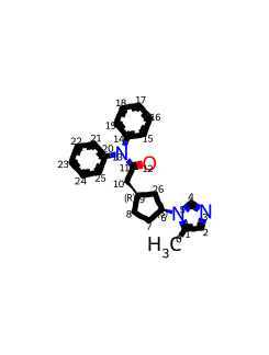 Cc1cncn1[C@H]1CC[C@@H](CC(=O)N(c2ccccc2)c2ccccc2)C1